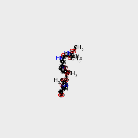 C=CCOC(=O)CC(=N)[C@H](C(=O)/C=C/[C@@H](C)C(=O)CC(=N)c1ccc(C2=CN3C(=O)c4cc(OC)c(OCCCOc5cc6c(cc5OC)C(=O)N5C=C(c7ccc8c(c7)OCO8)C[C@H]5C=N6)cc4/C=C/C=C/[C@@H]3C2)cc1)C(C)C